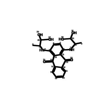 CC(Nc1ccc(NC(C)C(O)O)c2c1C(=O)c1ccccc1C2=O)C(O)O